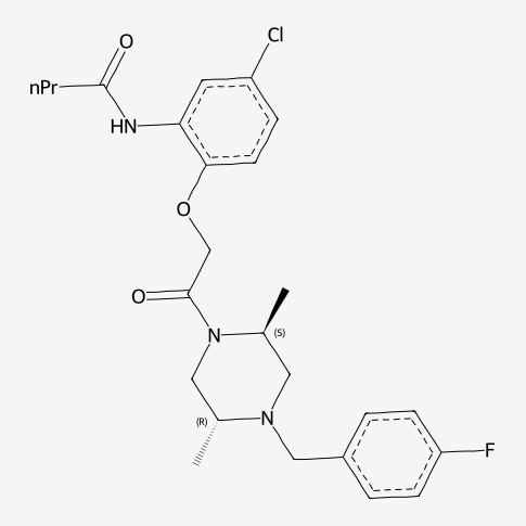 CCCC(=O)Nc1cc(Cl)ccc1OCC(=O)N1C[C@@H](C)N(Cc2ccc(F)cc2)C[C@@H]1C